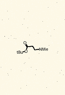 [CH2]NCCC(=O)OC(C)(C)C